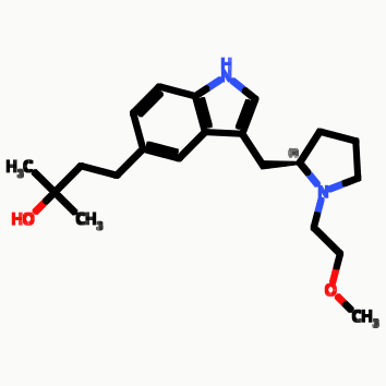 COCCN1CCC[C@@H]1Cc1c[nH]c2ccc(CCC(C)(C)O)cc12